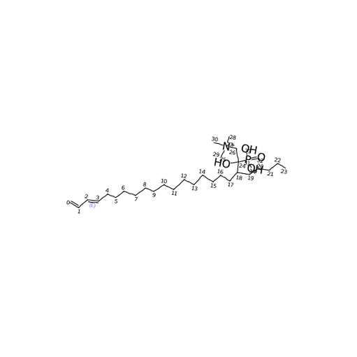 C=C/C=C/CCCCCCCCCCCCCCC(CCCCC)C(O)(C[N+](C)(C)C)P(=O)(O)O